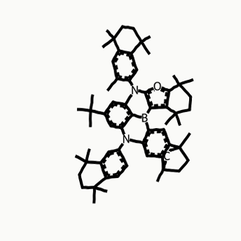 Cc1cc2c(cc1N1c3cc(C(C)(C)C)cc4c3B(c3cc5c(cc3N4c3ccc4c(c3)C(C)(C)CCC4(C)C)C3(C)CCC5(C)CC3)c3c1oc1c3C(C)(C)CCC1(C)C)C(C)(C)CCC2(C)C